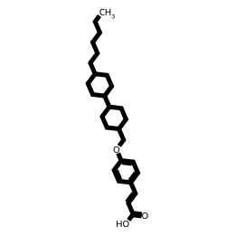 CCCCCCC1CCC(C2CCC(COc3ccc(/C=C/C(=O)O)cc3)CC2)CC1